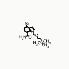 C[Si](C)(C)CCOCn1ccc2c(Br)ccc(C(N)=O)c21